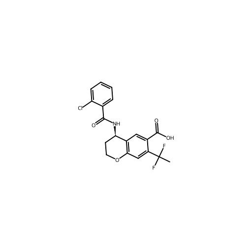 CC(F)(F)c1cc2c(cc1C(=O)O)[C@H](NC(=O)c1ccccc1Cl)CCO2